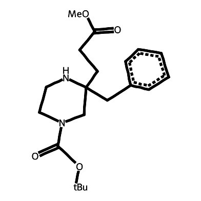 COC(=O)CCC1(Cc2ccccc2)CN(C(=O)OC(C)(C)C)CCN1